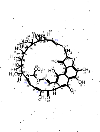 CO[C@H]1/C=C/O[C@@]2(C)Oc3c(C)c(O)c4c(O)c(c(/C=N/OC(C(=O)O)C(C)C)c(O)c4c3C2=O)NC(=O)/C(C)=C\C=C\[C@H](C)[C@H](O)[C@@H](C)[C@@H](O)[C@@H](C)[C@H](OC(C)=O)[C@@H]1C